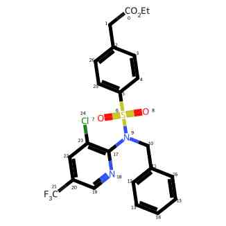 CCOC(=O)Cc1ccc(S(=O)(=O)N(Cc2ccccc2)c2ncc(C(F)(F)F)cc2Cl)cc1